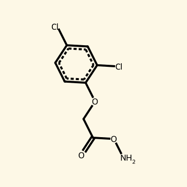 NOC(=O)COc1ccc(Cl)cc1Cl